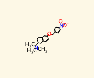 CC(C1CCc2cc(OCc3ccc([N+](=O)[O-])cc3)ccc2C1)N(C)C